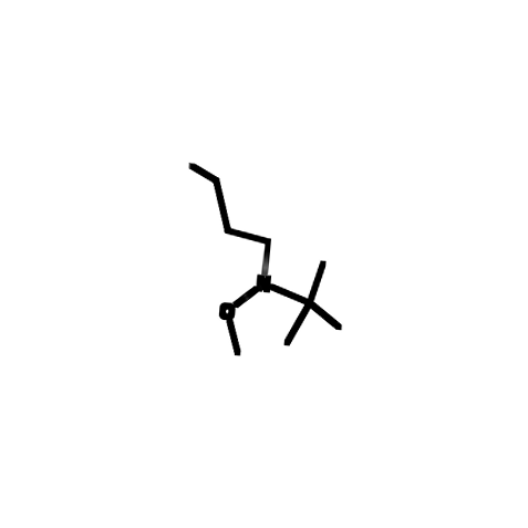 CCCCN(OC)C(C)(C)C